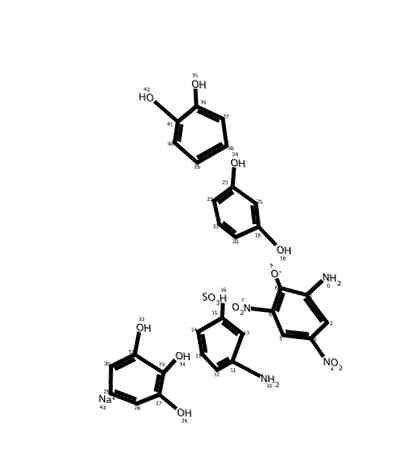 Nc1cc([N+](=O)[O-])cc([N+](=O)[O-])c1[O-].Nc1cccc(S(=O)(=O)O)c1.Oc1cccc(O)c1.Oc1cccc(O)c1O.Oc1ccccc1O.[Na+]